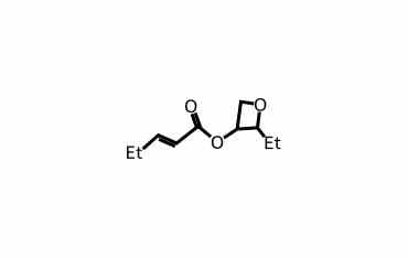 CCC=CC(=O)OC1COC1CC